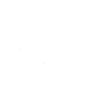 NC1C=CC=C2C1=Nc1ccccc12